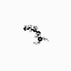 COc1cc(Nc2nccc(-c3cc(C(=O)N[C@@H](C)CN4CCC4)n(C)n3)n2)cc(OC)c1